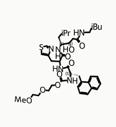 CCC(C)CNC(=O)C[C@H](O)[C@H](CC(C)C)NC(=O)C(Cc1cscn1)NC(=O)[C@H](Cc1cccc2ccccc12)NC(=O)OCCOCCOC